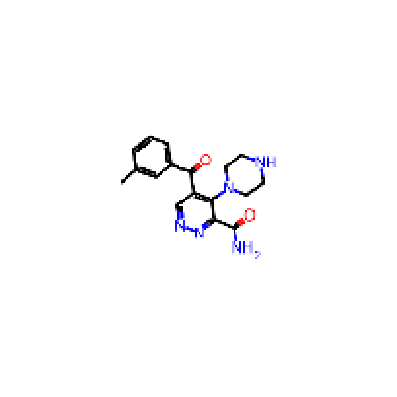 Cc1cccc(C(=O)c2cnnc(C(N)=O)c2N2CCNCC2)c1